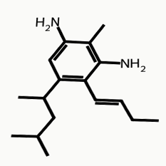 CCC=Cc1c(C(C)CC(C)C)cc(N)c(C)c1N